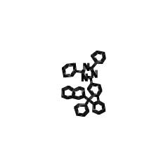 c1ccc(-c2nc(-c3ccccc3)nc(-c3ccc4c(c3)C(c3ccccc3)(c3ccc5ccccc5c3)c3ccccc3-4)n2)cc1